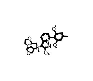 COc1cc(C)cc(OC)c1-c1cccc2c([N+](C)(CC3OCCO3)C3CCOC3)c(OC)nn12